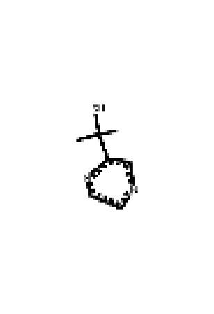 CC(C)(S)c1cnccn1